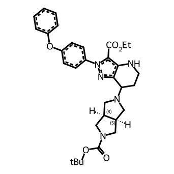 CCOC(=O)c1c2c(nn1-c1ccc(Oc3ccccc3)cc1)C(N1C[C@H]3CN(C(=O)OC(C)(C)C)C[C@H]3C1)CCN2